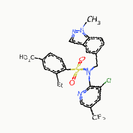 CCc1cc(C(=O)O)ccc1S(=O)(=O)N(Cc1ccc2c(cnn2C)c1)c1ncc(C(F)(F)F)cc1Cl